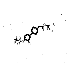 C=C(C)OC(=O)Cc1ccc(-c2ccc(OS(=O)(=O)C(F)(F)F)c(Cl)c2)cc1